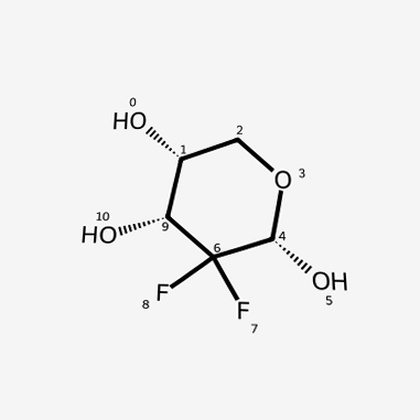 O[C@@H]1CO[C@H](O)C(F)(F)[C@@H]1O